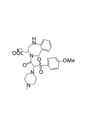 COc1ccc(S(=O)(=O)C(C(=O)N2Cc3ccccc3NCC2C(=O)[O-])N2CCN(C)CC2)cc1.[K+]